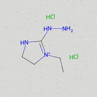 CC[N+]1=C(NN)NCC1.Cl.Cl